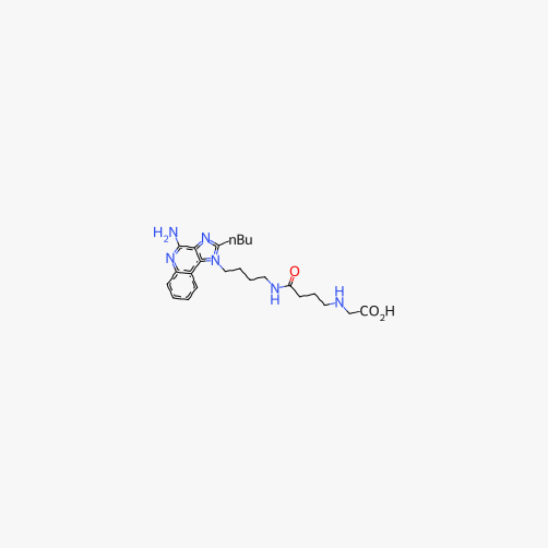 CCCCc1nc2c(N)nc3ccccc3c2n1CCCCNC(=O)CCCNCC(=O)O